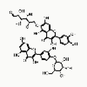 O=C[C@H](O)[C@@H](O)[C@H](O)[C@H](O)CO.O=c1c(O)c(-c2ccc(O)c(O)c2)oc2cc(O)cc(O)c12.O=c1c(O)c(-c2ccc(O[C@@H]3O[C@H](CO)[C@@H](O)[C@H](O)[C@H]3O)c(O)c2)oc2cc(O)cc(O)c12